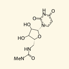 CNC(=O)NC[C@H]1O[C@@H](n2ccc(=O)[nH]c2=O)C(O)C1O